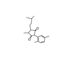 Cc1ccc(C)c(C2C(=O)C(C)C(CCC(C)C)C2=O)c1